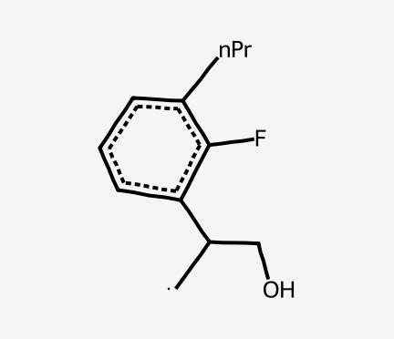 [CH2]C(CO)c1cccc(CCC)c1F